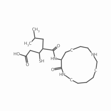 CC(C)CC(C(=O)NC1CCCCNCCCCCCNC1=O)C(S)CC(=O)O